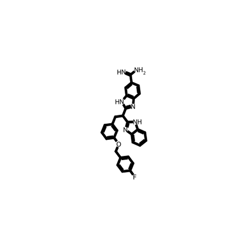 N=C(N)c1ccc2nc(C(Cc3cccc(OCc4ccc(F)cc4)c3)c3nc4ccccc4[nH]3)[nH]c2c1